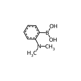 CN(C)c1ccccc1B(O)O